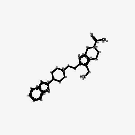 CCc1c(CCN2CCC(c3cc4ccccc4o3)CC2)sc2c1CCN(C(C)=O)C2